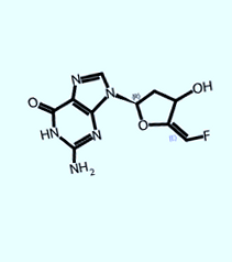 Nc1nc2c(ncn2[C@H]2CC(O)/C(=C\F)O2)c(=O)[nH]1